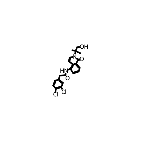 CC(C)(CO)n1ccc2c(NC(=O)Cc3ccc(Cl)c(Cl)c3)cccc2c1=O